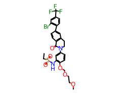 CCS(=O)(=O)Nc1cc(N2CCc3cc(-c4ccc(C(F)(F)F)cc4Br)ccc3C2=O)ccc1OCOCCOC